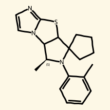 Cc1ccccc1N1[C@@H](C)C2C(Sc3nccn32)C12CCCC2